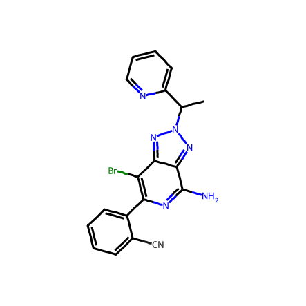 CC(c1ccccn1)n1nc2c(N)nc(-c3ccccc3C#N)c(Br)c2n1